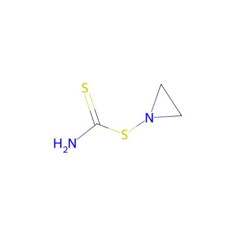 NC(=S)SN1CC1